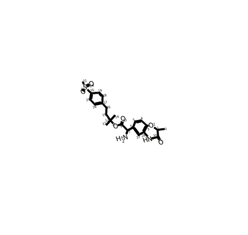 CC1Oc2ccc(C(N)C(=O)OC(C)(C)CCc3ccc(S(C)(=O)=O)cc3)cc2NC1=O